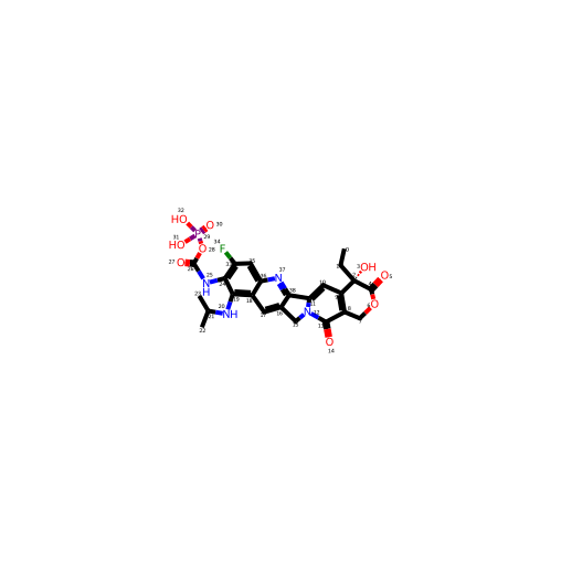 CC[C@@]1(O)C(=O)OCc2c1cc1n(c2=O)Cc2cc3c(NC(C)C)c(NC(=O)OP(=O)(O)O)c(F)cc3nc2-1